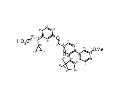 COc1cccc(-c2ncc(COc3cccc([C@@H](CC(=O)O)C4CC4)c3)nc2C2=CCCC2(C)C)c1